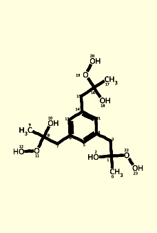 CC(O)(Cc1cc(CC(C)(O)OO)cc(CC(C)(O)OO)c1)OO